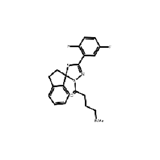 CNCCCC(=O)N1N=C(c2cc(F)ccc2F)SC12CCc1ccccc12